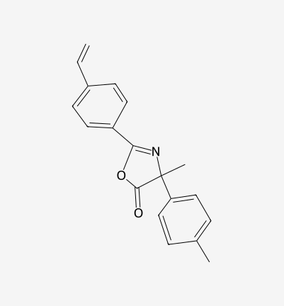 C=Cc1ccc(C2=NC(C)(c3ccc(C)cc3)C(=O)O2)cc1